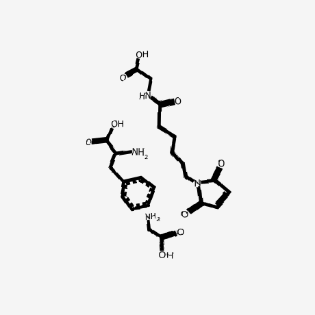 NC(Cc1ccccc1)C(=O)O.NCC(=O)O.O=C(O)CNC(=O)CCCCCN1C(=O)C=CC1=O